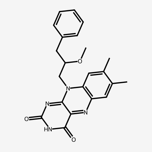 COC(Cc1ccccc1)Cn1c2nc(=O)[nH]c(=O)c-2nc2cc(C)c(C)cc21